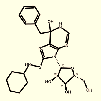 OC[C@H]1O[C@@H](n2c(SNC3CCCCC3)nc3c2N=CNC3(O)Cc2ccccc2)[C@H](O)[C@@H]1O